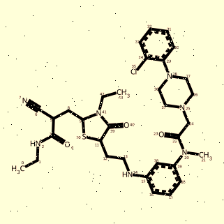 CCNC(=O)C(C#N)CC1SC(CCNc2cccc(N(C)C(=O)CN3CCN(c4ccccc4Cl)CC3)c2)C(=O)N1CC